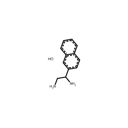 Cl.NCC(N)c1ccc2ccccc2c1